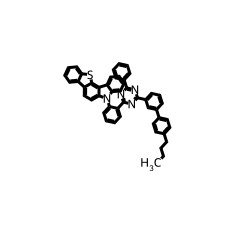 CCCCc1ccc(-c2cccc(-c3nc(-c4ccccc4)nc(-c4ccccc4-n4c5ccccc5c5c6sc7ccccc7c6ccc54)n3)c2)cc1